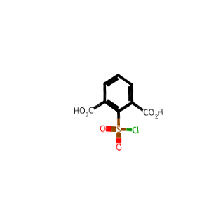 O=C(O)c1cccc(C(=O)O)c1S(=O)(=O)Cl